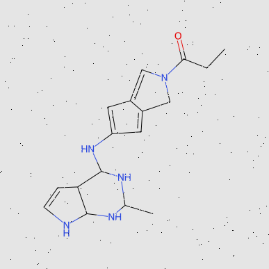 CCC(=O)N1C=C2C=C(NC3NC(C)NC4NC=CC43)C=C2C1